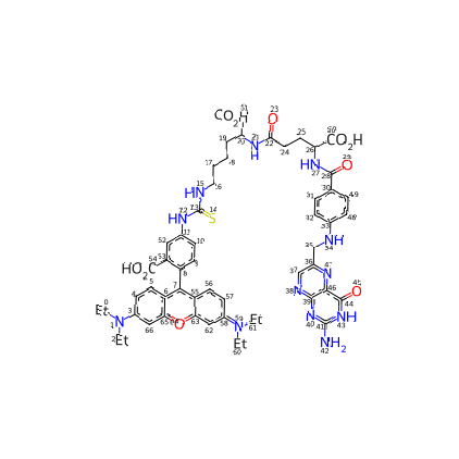 CCN(CC)c1ccc2c(-c3ccc(NC(=S)NCCCCC(NC(=O)CCC(NC(=O)c4ccc(NCc5cnc6nc(N)[nH]c(=O)c6n5)cc4)C(=O)O)C(=O)O)cc3C(=O)O)c3ccc(=[N+](CC)CC)cc-3oc2c1